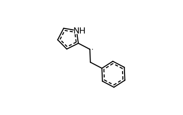 [CH](Cc1ccccc1)c1ccc[nH]1